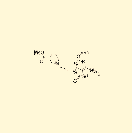 CCCCOc1nc(N)c2[nH]c(=O)n(CCCN3CCCC(C(=O)OC)C3)c2n1